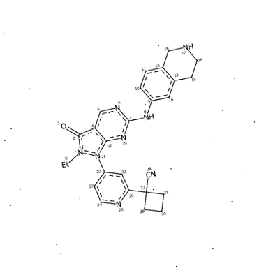 CCn1c(=O)c2cnc(Nc3ccc4c(c3)CCNC4)nc2n1-c1ccnc(C2(C#N)CCC2)c1